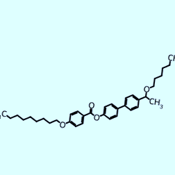 CCCCCCCCCOc1ccc(C(=O)Oc2ccc(-c3ccc(C(C)OCCCCCC)cc3)cc2)cc1